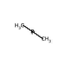 CCCCCCCCCCC[P][P]CCCCCCCCCCC